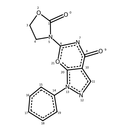 O=C1OCCN1c1nc(=O)c2cnn(-c3ccccc3)c2o1